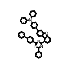 c1ccc(-c2ccc(-c3nc(-c4ccccc4)nc(-c4cccc5oc6cc(-c7ccc(N(c8ccccc8)c8ccccc8)cc7)ccc6c45)n3)cc2)cc1